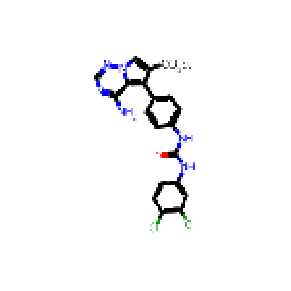 CCOC(=O)c1cn2ncnc(N)c2c1-c1ccc(NC(=O)Nc2ccc(Cl)c(Cl)c2)cc1